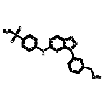 COCc1cccc(-n2nnc3cnc(Nc4ccc(S(N)(=O)=O)cc4)nc32)c1